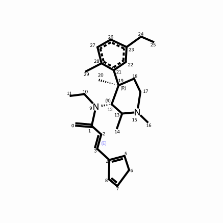 C=C(/C=C/C1=CCC=C1)N(CC)[C@H]1C(C)N(C)CC[C@]1(C)c1cc(CC)ccc1C